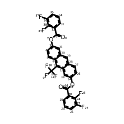 O=C(Oc1ccc2c(C(F)(F)F)c3cc(OC(=O)c4cccc(F)c4F)ccc3cc2c1)c1cccc(F)c1F